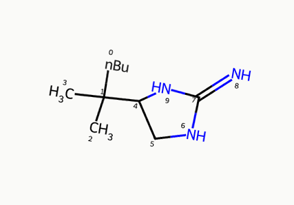 CCCCC(C)(C)C1CNC(=N)N1